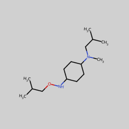 CC(C)CONC1CCC(N(C)CC(C)C)CC1